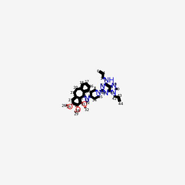 C=CCNc1nc(N2CCC(N(C)C3c4ccccc4CCc4cc(OC)c(OC)c(OC)c43)CC2)nc2c1ncn2CC=C